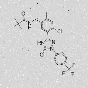 Cc1cc(Cl)c(-c2nn(-c3ccc(C(F)(F)F)cc3)c(=O)[nH]2)cc1CNC(=O)C(C)(C)C